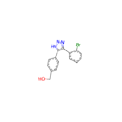 OCc1ccc(-c2[nH]nnc2-c2ccccc2Br)cc1